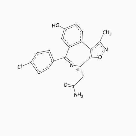 Cc1noc2c1-c1ccc(O)cc1C(c1ccc(Cl)cc1)=N[C@H]2CC(N)=O